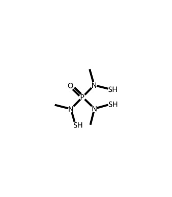 CN(S)P(=O)(N(C)S)N(C)S